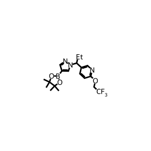 CCC(c1ccc(OCC(F)(F)F)nc1)n1cc(B2OC(C)(C)C(C)(C)O2)cn1